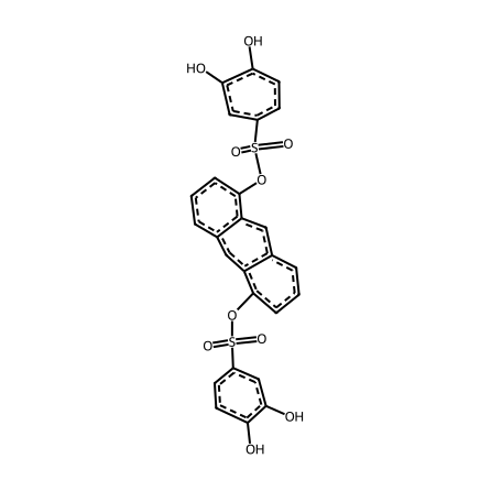 O=S(=O)(Oc1cccc2cc3c(OS(=O)(=O)c4ccc(O)c(O)c4)cccc3cc12)c1ccc(O)c(O)c1